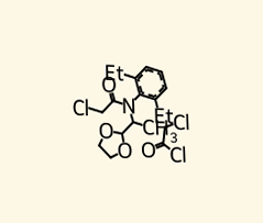 CCc1cccc(CC)c1N(C(=O)CCl)C(C)C1OCCO1.O=C(Cl)CCl